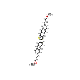 CCCCOCCCCc1ccc2cc3cc4c(cc3cc2c1)sc1c2cc3cc5ccc(CCCCOCCCC)cc5cc3cc2sc41